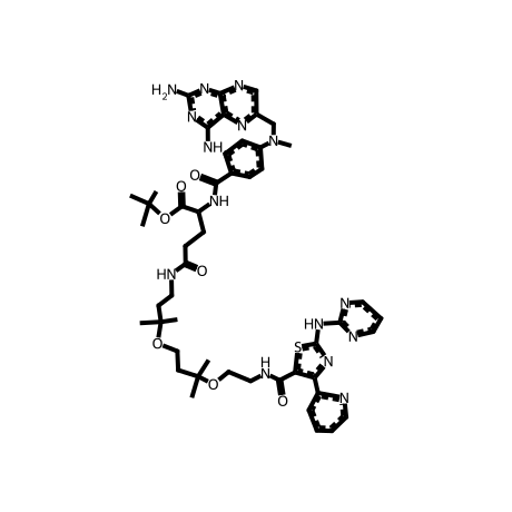 CN(Cc1cnc2nc(N)nc(N)c2n1)c1ccc(C(=O)NC(CCC(=O)NCCC(C)(C)OCCC(C)(C)OCCNC(=O)c2sc(Nc3ncccn3)nc2-c2ccccn2)C(=O)OC(C)(C)C)cc1